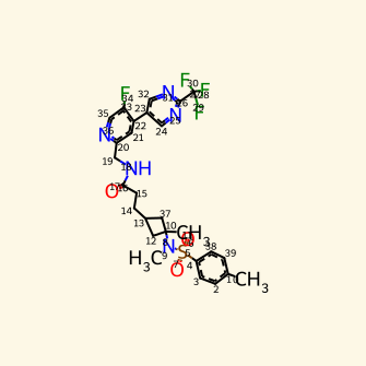 Cc1ccc(S(=O)(=O)N(C)C2(C)CC(CCC(=O)NCc3cc(-c4cnc(C(F)(F)F)nc4)c(F)cn3)C2)cc1